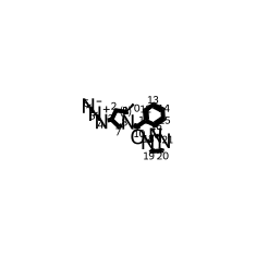 C[C@@H]1CC(N=[N+]=[N-])CN1C(=O)c1ccccc1-n1nccn1